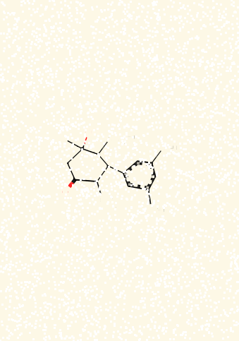 CCOC(=O)C1C(=O)CC(C)(O)C(C(=O)OCC)C1c1cc(C(C)(C)C)cc(C(C)(C)C)c1